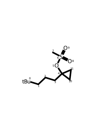 CC(C)(C)CCCC1(OS(C)(=O)=O)CC1